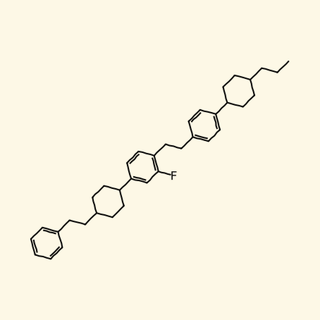 CCCC1CCC(c2ccc(CCc3ccc(C4CCC(CCc5ccccc5)CC4)cc3F)cc2)CC1